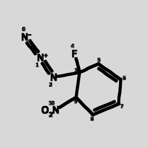 [N-]=[N+]=NC1(F)C=CC=CC1[N+](=O)[O-]